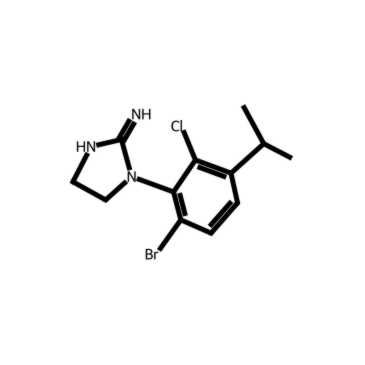 CC(C)c1ccc(Br)c(N2CCNC2=N)c1Cl